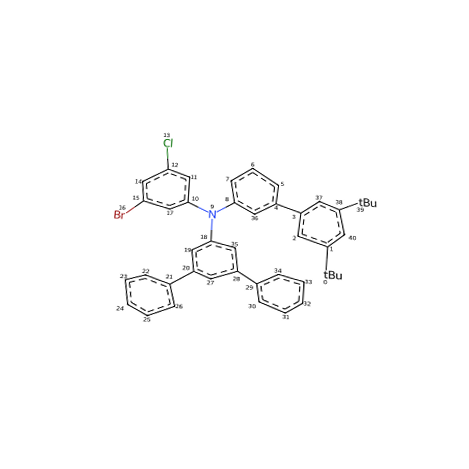 CC(C)(C)c1cc(-c2cccc(N(c3cc(Cl)cc(Br)c3)c3cc(-c4ccccc4)cc(-c4ccccc4)c3)c2)cc(C(C)(C)C)c1